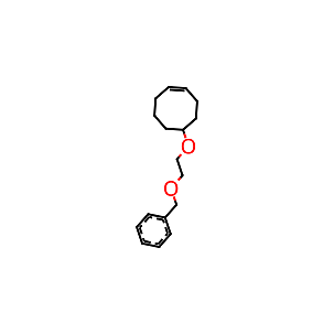 C1=C\CCC(OCCOCc2ccccc2)CCC/1